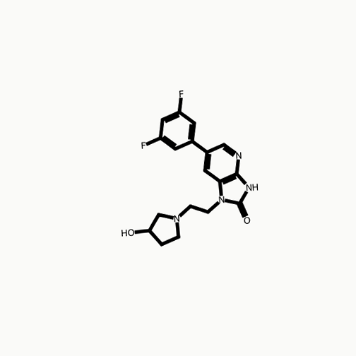 O=c1[nH]c2ncc(-c3cc(F)cc(F)c3)cc2n1CCN1CCC(O)C1